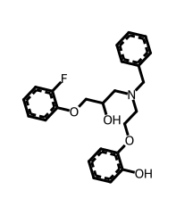 Oc1ccccc1OCCN(Cc1ccccc1)CC(O)COc1ccccc1F